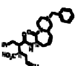 C=CC[C@H](C(=O)O)C(CC(C)C)C(=O)N[C@H]1CC=CC2CN(Cc3ccccc3)CCN2C1=O